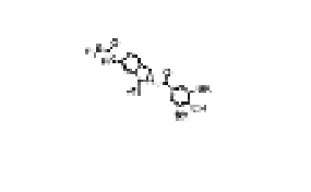 CC(C)(C)c1cc(C(=O)CN2Cc3ccc(NC(N)=O)cc3C2=N)cc(C(C)(C)C)c1O